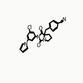 N#Cc1ccc(CC23CCCN2C(=O)N(c2cc(Cl)cc(-n4cccc4)c2)C3=O)cc1